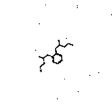 CCCC(C)Cc1ccccc1CC(C)CCC